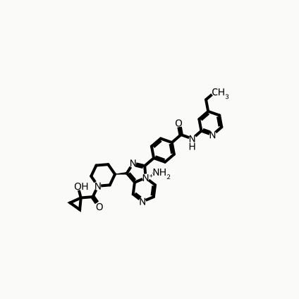 CCc1ccnc(NC(=O)c2ccc(C3=NC([C@@H]4CCCN(C(=O)C5(O)CC5)C4)=C4C=NC=C[N+]34N)cc2)c1